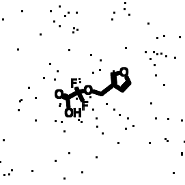 O=C(O)C(F)(F)OCc1ccoc1